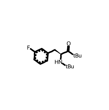 CC(C)(C)N[C@@H](Cc1cccc(F)c1)C(=O)C(C)(C)C